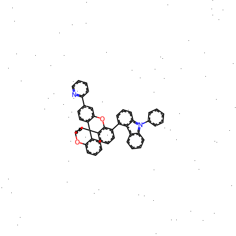 c1ccc(-n2c3ccccc3c3c(-c4cccc5c4Oc4cc(-c6ccccn6)ccc4C54c5ccccc5Oc5ccccc54)cccc32)cc1